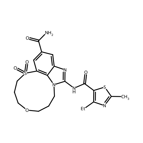 CCc1nc(C)sc1C(=O)Nc1nc2cc(C(N)=O)cc3c2n1CCCOCCCS3(=O)=O